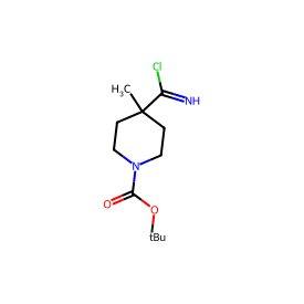 CC(C)(C)OC(=O)N1CCC(C)(C(=N)Cl)CC1